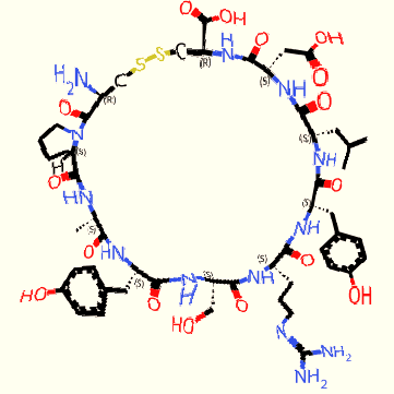 CC(C)C[C@@H]1NC(=O)[C@H](Cc2ccc(O)cc2)NC(=O)[C@H](CCCN=C(N)N)NC(=O)[C@H](CO)NC(=O)[C@H](Cc2ccc(O)cc2)NC(=O)[C@H](C)NC(=O)[C@@H]2CCCN2C(=O)[C@@H](N)CSSC[C@@H](C(=O)O)NC(=O)[C@H](CC(=O)O)NC1=O